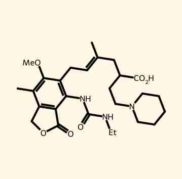 CCNC(=O)Nc1c(C/C=C(\C)CC(CCN2CCCCC2)C(=O)O)c(OC)c(C)c2c1C(=O)OC2